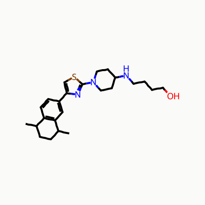 CC1CCC(C)c2cc(-c3csc(N4CCC(NCCCCO)CC4)n3)ccc21